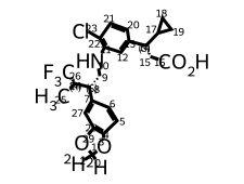 [2H]C1([2H])Oc2ccc([C@@H](CNc3cc([C@@H](CC(=O)O)C4CC4)ccc3Cl)[C@@H](C)C(F)(F)F)cc2O1